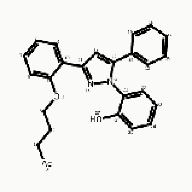 CC(=O)CCCOc1ccccc1-c1cc(-c2ccccc2)n(-c2ccccc2O)n1